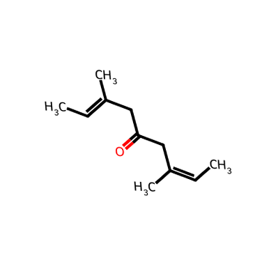 CC=C(C)CC(=O)CC(C)=CC